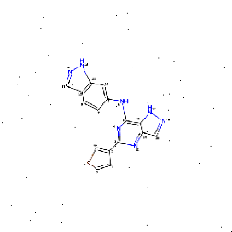 c1cc(-c2nc(Nc3ccc4cn[nH]c4c3)c3[nH]ncc3n2)cs1